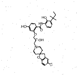 CCC(C)(C)c1cccc(NC(=O)c2ccc(O)cc2OC[C@H](O)CN2CCC3(CC2)Cc2cc(Cl)ccc2O3)c1O